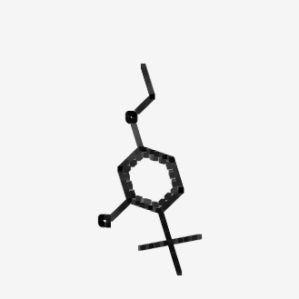 CCOc1ccc(C(C)(C)C)c(Cl)c1